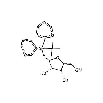 CC(C)(C)[Si](OC1O[C@@H](CO)[C@H](O)[C@@H]1O)(c1ccccc1)c1ccccc1